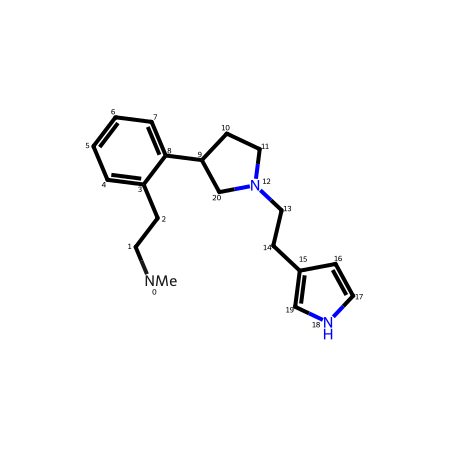 CNCCc1ccccc1C1CCN(CCc2cc[nH]c2)C1